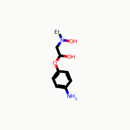 CCN(O)CC(O)Oc1ccc(N)cc1